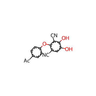 CC(=O)c1ccc(Oc2c(C#N)cc(O)c(O)c2C#N)cc1